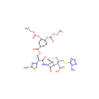 CCOC(=O)Oc1ccc(C(=O)O/N=C(\C(=O)N[C@@H]2C(=O)N3C(C(=O)O)=C(CSc4nnnn4C)CS[C@@H]23)c2coc(N)n2)cc1OC(=O)OCC